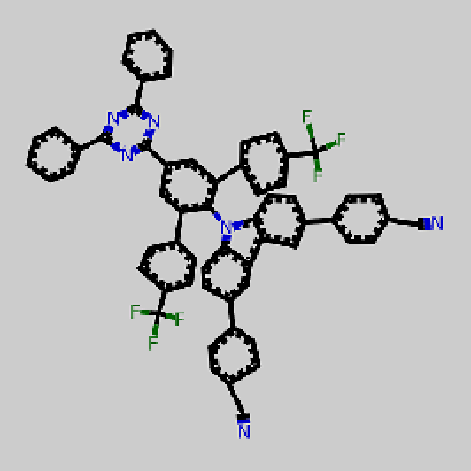 N#Cc1ccc(-c2ccc3c(c2)c2cc(-c4ccc(C#N)cc4)ccc2n3-c2c(-c3ccc(C(F)(F)F)cc3)cc(-c3nc(-c4ccccc4)nc(-c4ccccc4)n3)cc2-c2ccc(C(F)(F)F)cc2)cc1